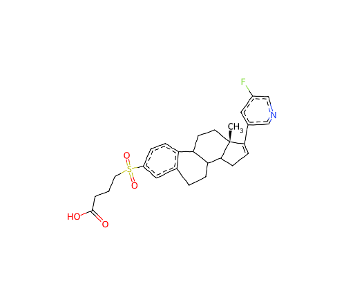 C[C@]12CCC3c4ccc(S(=O)(=O)CCCC(=O)O)cc4CCC3C1CC=C2c1cncc(F)c1